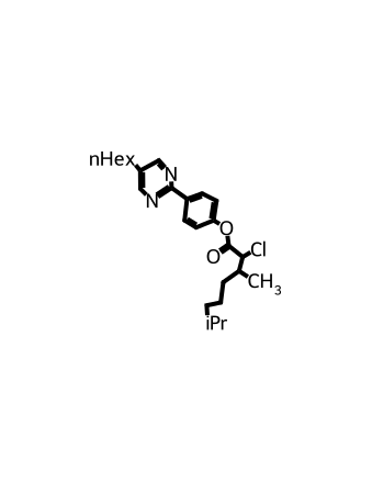 CCCCCCc1cnc(-c2ccc(OC(=O)C(Cl)C(C)CCCC(C)C)cc2)nc1